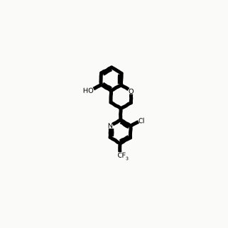 Oc1cccc2c1CC(c1ncc(C(F)(F)F)cc1Cl)CO2